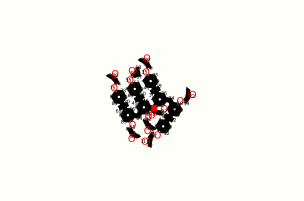 CC(C)(c1ccc(OCC2CO2)cc1)c1ccc(OCC2CO2)c(Cc2cc(C(C)(C)c3ccc(OCC4CO4)cc3)cc(Cc3cc(C(C)(C)c4ccc(OC5CCO5)cc4)cc(Cc4cc(C(C)(C)c5ccc(OCC6CO6)cc5)ccc4OCC4CO4)c3OCC3CO3)c2OCC2CO2)c1